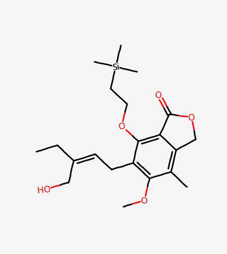 CC/C(=C/Cc1c(OC)c(C)c2c(c1OCC[Si](C)(C)C)C(=O)OC2)CO